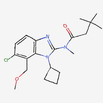 COCc1c(Cl)ccc2nc(N(C)C(=O)CC(C)(C)C)n(C3CCC3)c12